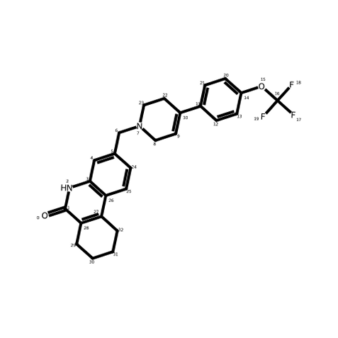 O=c1[nH]c2cc(CN3CC=C(c4ccc(OC(F)(F)F)cc4)CC3)ccc2c2c1CCCC2